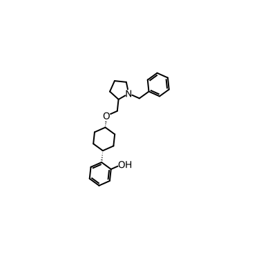 Oc1ccccc1[C@H]1CC[C@@H](OCC2CCCN2Cc2ccccc2)CC1